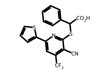 N#Cc1c(C(F)(F)F)cc(-c2cccs2)nc1SC(C(=O)O)c1ccccc1